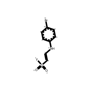 O=S(=O)(F)C=CNc1ccc(Br)cc1